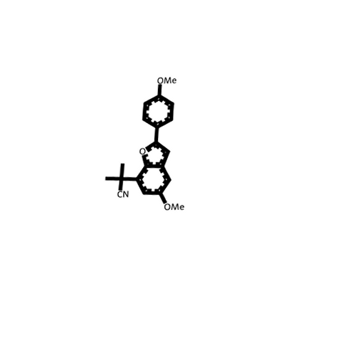 COc1ccc(-c2cc3cc(OC)cc(C(C)(C)C#N)c3o2)cc1